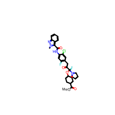 COC(=O)C1CCC(OC(F)(C(=O)Cc2cc(Cl)c(NC(=O)c3c4ccccc4nn3C)cc2F)N2CCCC2)CC1